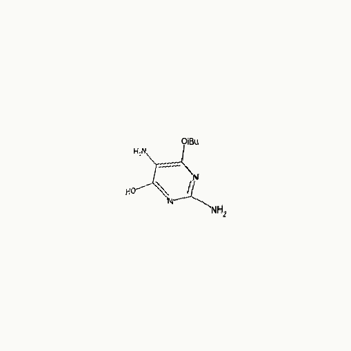 CC(C)COc1nc(N)nc(O)c1N